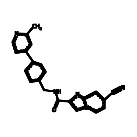 Cc1cc(-c2ccc(CNC(=O)c3cn4ccc(C#N)cc4n3)cc2)ccn1